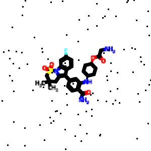 CC1(C)Cc2c(-c3ccc(C(N)=O)c(N[C@H]4CC[C@H](OC(=O)CN)CC4)c3)c3ccc(F)cc3n2S(=O)(=O)C1